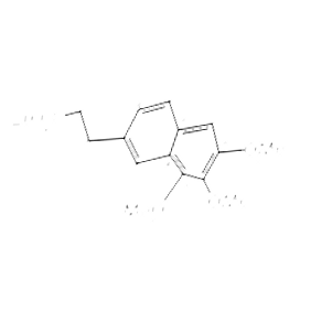 CCOC(=O)CCc1ccc2cc(OC)c(OC)c(OC)c2c1